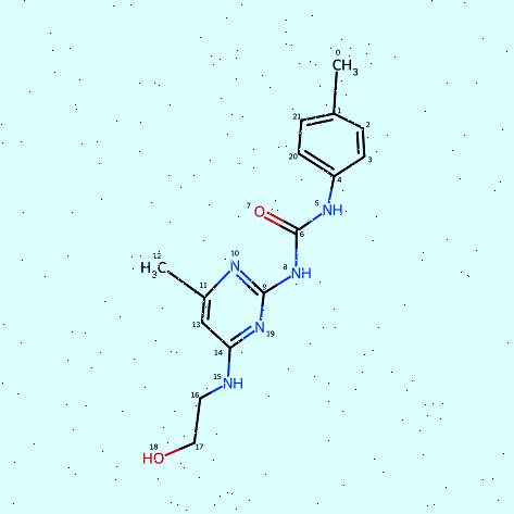 Cc1ccc(NC(=O)Nc2nc(C)cc(NCCO)n2)cc1